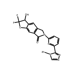 CC(C)n1cnnc1-c1cccc(N2Cc3cc4c(cc3C2=O)OC(F)(F)C4O)n1